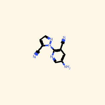 N#Cc1cc(N)cnc1-n1nccc1C#N